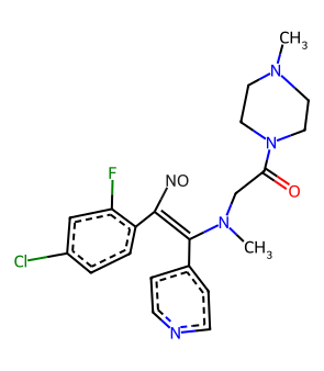 CN1CCN(C(=O)CN(C)/C(=C(\N=O)c2ccc(Cl)cc2F)c2ccncc2)CC1